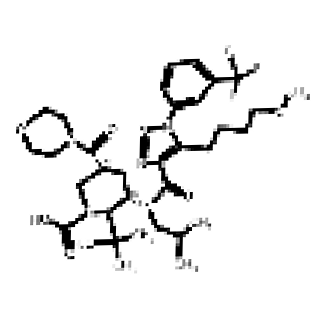 COCCCCc1c(C(=O)N(CC(C)C)[C@H]2C[C@@H](C(=O)N3CCOCC3)CN(C(=O)O)C2C(C)(C)C)nnn1-c1cccc(C(F)(F)F)c1